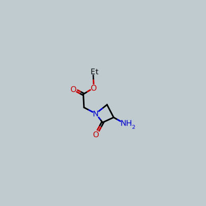 CCOC(=O)CN1CC(N)C1=O